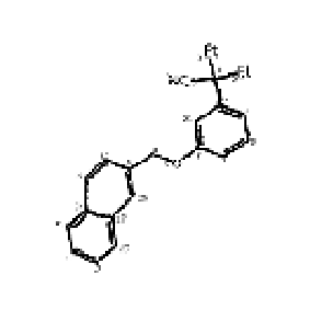 CCC(C#N)(CC)c1cccc(OCc2ccc3ccccc3c2)c1